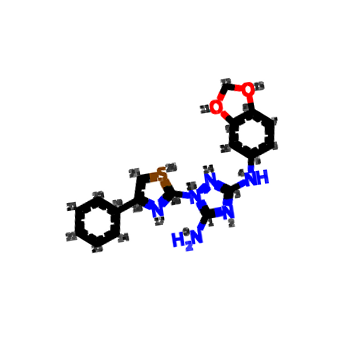 Nc1nc(Nc2ccc3c(c2)OCO3)nn1-c1nc(-c2ccccc2)cs1